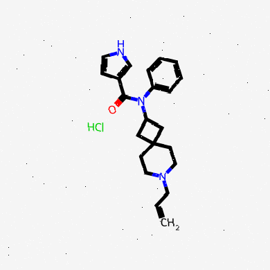 C=CCN1CCC2(CC1)CC(N(C(=O)c1cc[nH]c1)c1ccccc1)C2.Cl